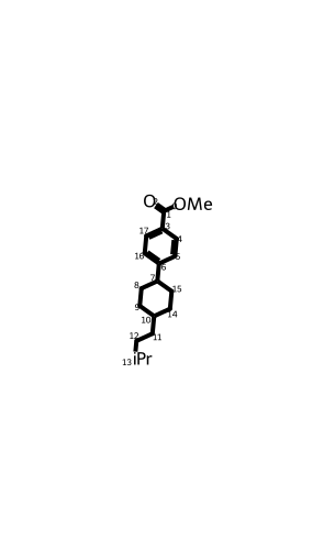 COC(=O)c1ccc(C2CCC(CCC(C)C)CC2)cc1